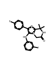 CC1(C)NC(=O)Cn2c1nc(-c1ccc(F)cc1)c2Nc1cccc(F)c1